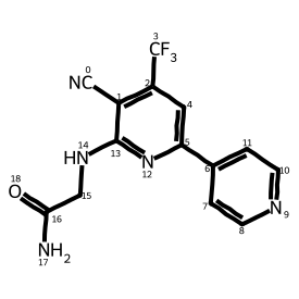 N#Cc1c(C(F)(F)F)cc(-c2ccncc2)nc1NCC(N)=O